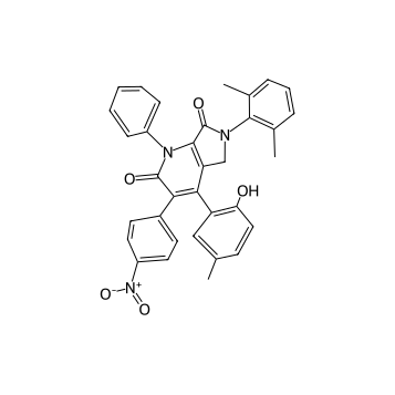 Cc1ccc(O)c(-c2c3c(n(-c4ccccc4)c(=O)c2-c2ccc([N+](=O)[O-])cc2)C(=O)N(c2c(C)cccc2C)C3)c1